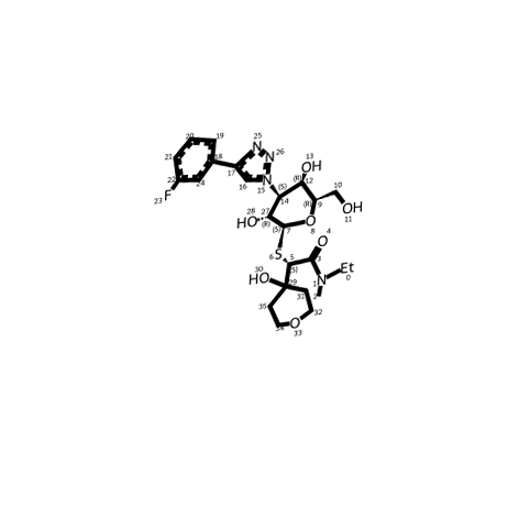 CCN(C)C(=O)[C@@H](S[C@@H]1O[C@H](CO)[C@H](O)[C@H](n2cc(-c3cccc(F)c3)nn2)[C@H]1O)C1(O)CCOCC1